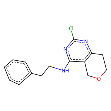 Clc1nc2c(c(NCCc3ccccc3)n1)COCC2